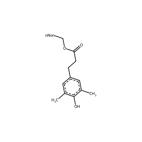 CCCCCCCCCCOC(=O)CCc1cc(C)c(O)c(C)c1